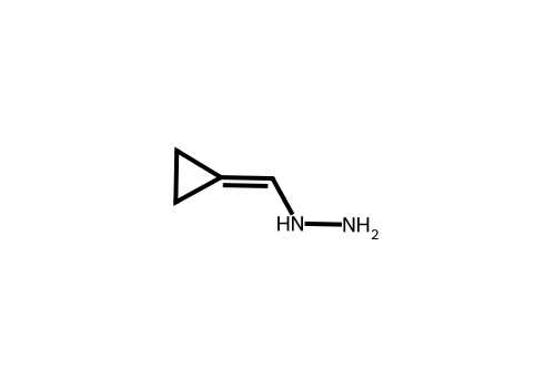 NNC=C1CC1